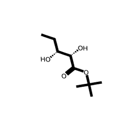 CC[C@@H](O)[C@H](O)C(=O)OC(C)(C)C